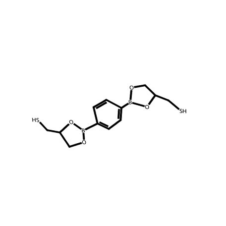 SCC1COB(c2ccc(B3OCC(CS)O3)cc2)O1